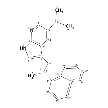 CC(C)c1cnc2[nH]cc(C[C@@H](C)c3cccc4cnccc34)c2c1